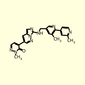 Cc1cc(-c2ncc(CNc3ncc4cc(-c5ccnn(C)c5=O)cnn34)cc2C)ccn1